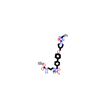 CC(C)c1noc(N2CCC(COc3ccc(C4=CCC(C(=O)N(C)CCCNC(=O)OC(C)(C)C)CC4)cc3)CC2)n1